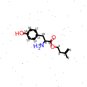 C=C(C)CCOC(=O)C(N)Cc1ccc(O)cc1